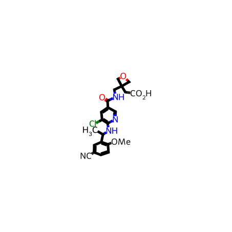 COc1ccc(C#N)cc1C(C)Nc1ncc(C(=O)NCC2(CC(=O)O)COC2)cc1Cl